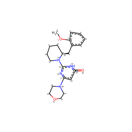 COc1ccccc1C[C@@H]1CCCCN1c1nc(N2CCOCC2)cc(=O)[nH]1